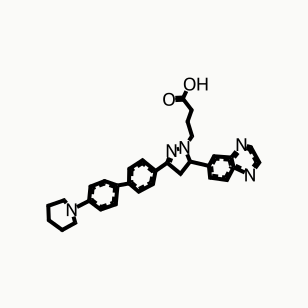 O=C(O)CCCN1N=C(c2ccc(-c3ccc(N4CCCCC4)cc3)cc2)CC1c1ccc2nccnc2c1